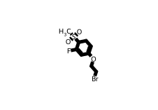 CS(=O)(=O)C1CC=C(OCCBr)C=C1F